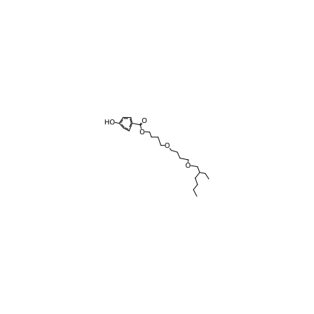 CCCCC(CC)COCCCCOCCCCOC(=O)c1ccc(O)cc1